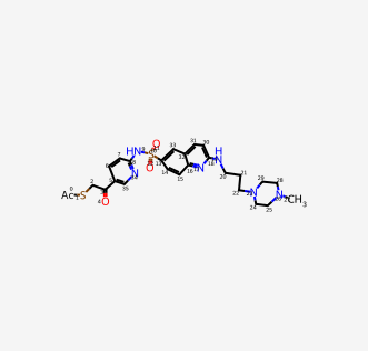 CC(=O)SCC(=O)c1ccc(NS(=O)(=O)c2ccc3nc(NCCCN4CCN(C)CC4)ccc3c2)nc1